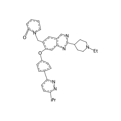 CCN1CCC(c2ncc3cc(Cn4ccccc4=O)c(Oc4ccc(-c5ccc(C(C)C)nn5)cc4)cc3n2)CC1